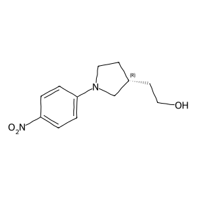 O=[N+]([O-])c1ccc(N2CC[C@H](CCO)C2)cc1